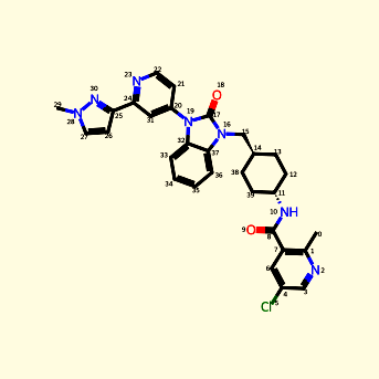 Cc1ncc(Cl)cc1C(=O)N[C@H]1CC[C@H](Cn2c(=O)n(-c3ccnc(-c4ccn(C)n4)c3)c3ccccc32)CC1